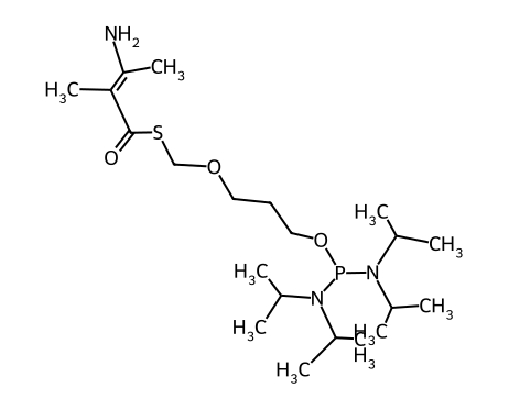 C/C(N)=C(/C)C(=O)SCOCCCOP(N(C(C)C)C(C)C)N(C(C)C)C(C)C